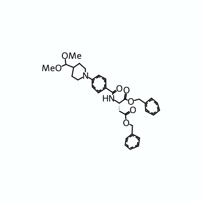 COC(OC)C1CCN(c2ccc(C(=O)N[C@@H](CC(=O)OCc3ccccc3)C(=O)OCc3ccccc3)cc2)CC1